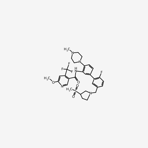 COc1cc(C(F)(F)F)c(C(=O)Nc2cc(-c3cc(CN4CCC(S(C)(=O)=O)C4)ccc3F)ccc2N2CCN(C)CC2)cn1